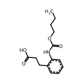 CCCCOC(=O)Nc1ccccc1CCC(=O)O